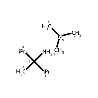 CC(C)C(C)(N)C(C)C.CN(C)C